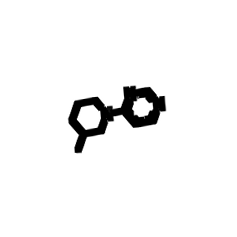 CC1CCCN(c2ccncn2)C1